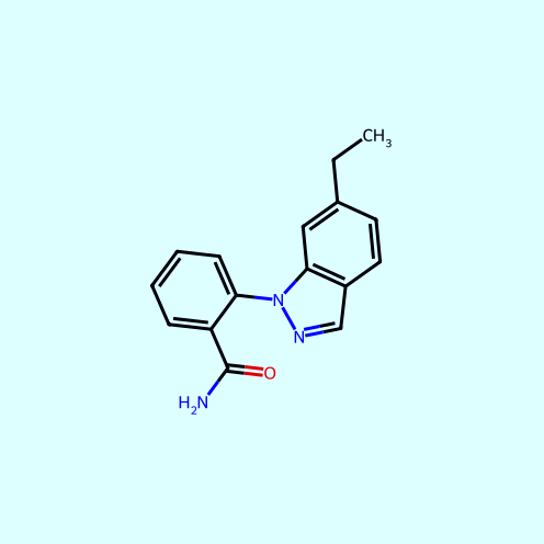 CCc1ccc2cnn(-c3ccccc3C(N)=O)c2c1